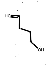 [CH]=CCC[CH]O